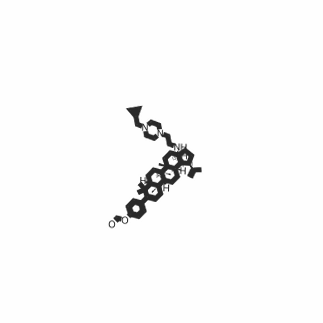 C=C(C)[C@@H]1CC[C@]2(NCCN3CCN(CC4CC4)CC3)CC[C@]3(C)[C@H](CC[C@@H]4[C@@]5(C)CC=C(c6ccc(OC=O)cc6)C(C)(C)[C@@H]5CC[C@]43C)[C@@H]12